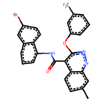 Cc1ccc2c(C(=O)Nc3cccc4cc(Br)ccc34)c(Oc3cccc(C(F)(F)F)c3)nnc2c1